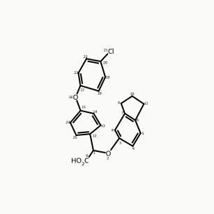 O=C(O)C(Oc1ccc2c(c1)CCC2)c1ccc(Oc2ccc(Cl)cc2)cc1